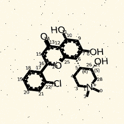 C[N+]1(C)CC[C@H](c2c(O)cc(O)c3c(=O)cc(-c4ccccc4Cl)oc23)[C@H](O)C1